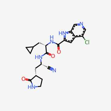 N#C[C@H](C[C@@H]1CCNC1=O)NC(=O)[C@H](CC1CC1)NC(=O)c1cc2c(Cl)cncc2[nH]1